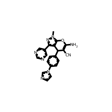 Cn1nc(-c2cncnc2)c2c1OC(N)=C(C#N)C2c1ccc(-n2ccnc2)cc1